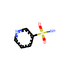 [NH]S(=O)(=O)c1cccnc1